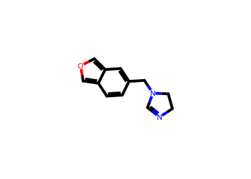 C1=NCCN1Cc1ccc2cocc2c1